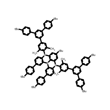 Cc1cc(-c2cc(-c3ccc(C(C)(C)C)cc3)cc(-c3ccc(C(C)(C)C)cc3)c2)cc(C)c1N1c2ccc(-c3ccc(C(C)(C)C)cc3)cc2B2c3cc(-c4ccc(C(C)(C)C)cc4)ccc3N(c3c(C)cc(-c4cc(-c5ccc(C(C)(C)C)cc5)cc(-c5ccc(C(C)(C)C)cc5)c4)cc3C)c3cc(C(C)(C)C)cc1c32